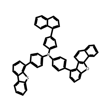 c1ccc2c(-c3ccc(N(c4ccc(-c5cccc6c5sc5ccccc56)cc4)c4ccc(-c5cccc6oc7c8ccccc8ccc7c56)cc4)cc3)cccc2c1